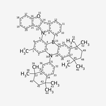 Cc1cc2c3c(c1)-n1c4c(cccc4c4oc5ccccc5c41)B3c1cc3c(cc1N2c1ccc2c(c1)C(C)(C)CCC2(C)C)C(C)(C)CCC3(C)C